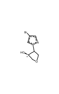 O[C@@H]1COCC1n1cc(Br)cn1